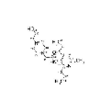 CCSc1cc(C)nc(SCC)c1NC(=O)CN1CCN(CCO)CC1